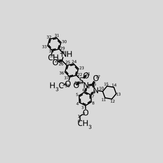 CCOc1ccc2c(c1)n(C1CCCCC1)c(=O)n2S(=O)(=O)c1ccc(C(=O)Nc2ccccc2C)cc1OC